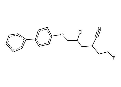 N#CC(CCF)CC(Cl)COc1ccc(-c2ccccc2)cc1